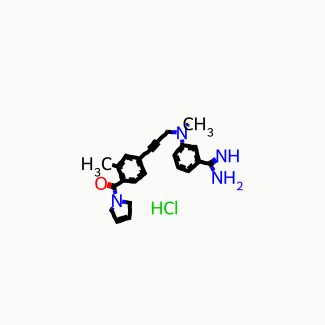 Cc1cc(C#CCN(C)c2cccc(C(=N)N)c2)ccc1C(=O)N1CC=CC1.Cl